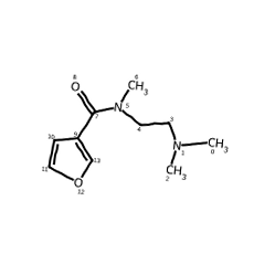 CN(C)CCN(C)C(=O)c1ccoc1